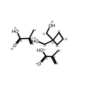 C=C(C)C(=O)O.C=C(C)C(=O)O.OCC1(CO)CCC1